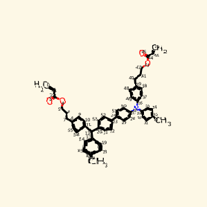 C=CC(=O)OCCCc1ccc(C(c2ccc(C)cc2)c2ccc(-c3ccc(N(c4ccc(C)cc4)c4ccc(CCCOC(=O)C=C)cc4)cc3)cc2)cc1